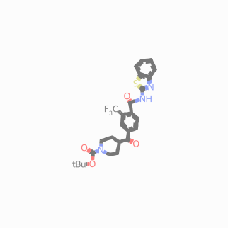 CC(C)(C)OC(=O)N1CCC(C(=O)c2ccc(C(=O)Nc3nc4ccccc4s3)c(C(F)(F)F)c2)CC1